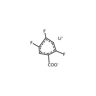 O=C([O-])c1cc(F)c(F)cc1F.[Li+]